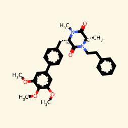 COc1cc(-c2ccc(C[C@H]3C(=O)N(CCc4ccccc4)[C@@H](C)C(=O)N3C)cc2)cc(OC)c1OC